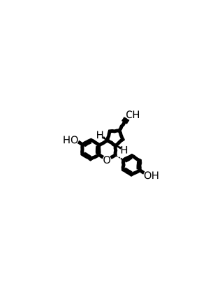 C#CC1C[C@H]2[C@@H](C1)c1cc(O)ccc1O[C@H]2c1ccc(O)cc1